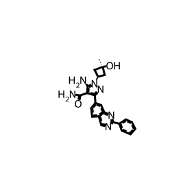 C[C@]1(O)C[C@@H](n2nc(-c3ccc4cnc(-c5ccccc5)nc4c3)c(C(N)=O)c2N)C1